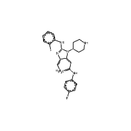 C=C(/N=C1\C(=C/N)N=C(Nc2ccccc2F)N1C1CCNCC1)Nc1ccc(F)cc1